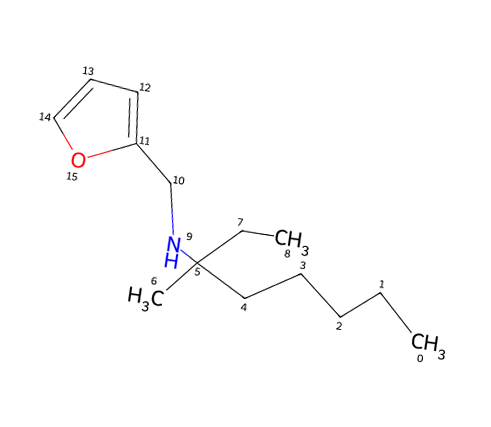 CCCCCC(C)(CC)NCc1ccco1